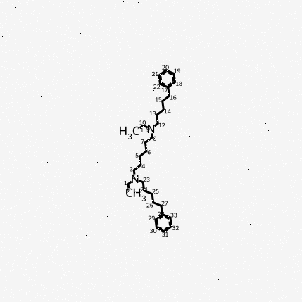 CCN(CCCCCCN(CC)CCCCCc1ccccc1)CCCCCc1ccccc1